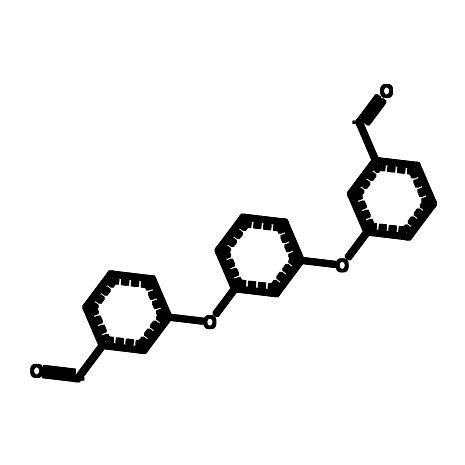 O=[C]c1cccc(Oc2cccc(Oc3cccc([C]=O)c3)c2)c1